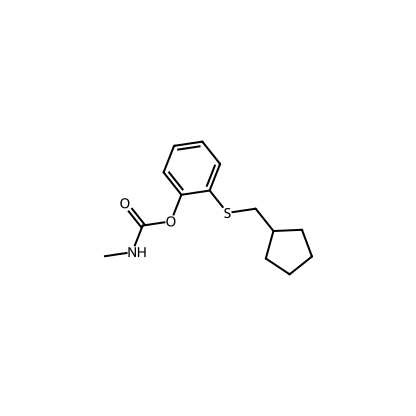 CNC(=O)Oc1ccccc1SCC1CCCC1